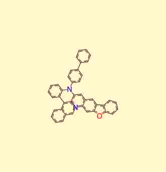 c1ccc(-c2ccc(N(c3cnc4cc5oc6ccccc6c5cc4c3)c3ccccc3-c3cccc4ccccc34)cc2)cc1